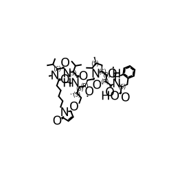 CC[C@H](C)[C@@H]([C@@H](CC(=O)N1C(C)[C@@H](C)C[C@H]1[C@H](OC)[C@@H](C)C(=O)N[C@@H](Cc1ccccc1F)C(=O)O)OC)N(C)C(=O)[C@@H](NC(=O)[C@H](C(C)C)N(C)C(=O)CCCCCN1C(=O)C=CC1=O)C(C)C